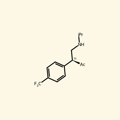 CC(=O)[C@H](CNC(C)C)c1ccc(C(F)(F)F)cc1